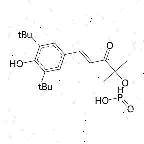 CC(C)(O[PH](=O)O)C(=O)C=Cc1cc(C(C)(C)C)c(O)c(C(C)(C)C)c1